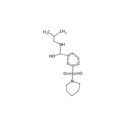 CC(C)CNC(O)c1cccc(S(=O)(=O)N2CCCCC2)c1